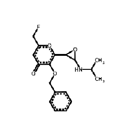 CC(C)NC1OC1c1oc(CF)cc(=O)c1OCc1ccccc1